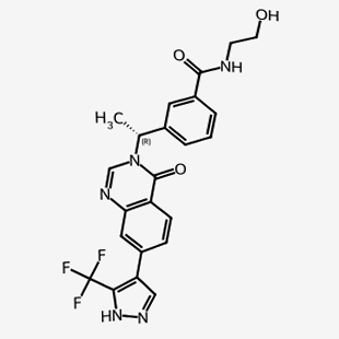 C[C@H](c1cccc(C(=O)NCCO)c1)n1cnc2cc(-c3cn[nH]c3C(F)(F)F)ccc2c1=O